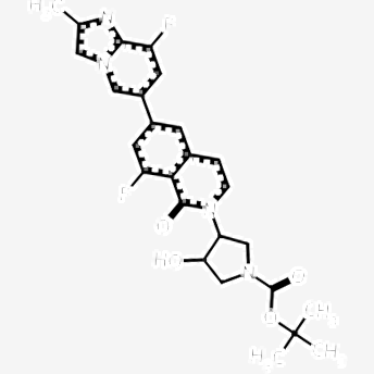 Cc1cn2cc(-c3cc(F)c4c(=O)n(C5CN(C(=O)OC(C)(C)C)CC5O)ccc4c3)cc(F)c2n1